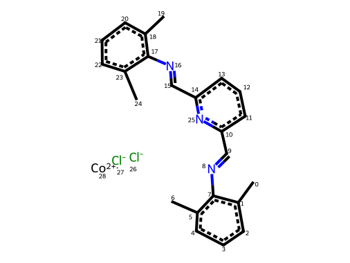 Cc1cccc(C)c1N=Cc1cccc(C=Nc2c(C)cccc2C)n1.[Cl-].[Cl-].[Co+2]